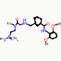 CCN(CCN(C)C)C(=O)CNCc1cccc(C(=O)Nc2c(OC(C)C)cccc2OC(C)C)c1